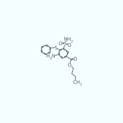 CCCCOC(=O)c1cc(N)c(Sc2ccccc2)c(S(N)(=O)=O)c1